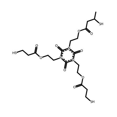 CC(S)CC(=O)OCCn1c(=O)n(CCOC(=O)CCS)c(=O)n(CCOC(=O)CCS)c1=O